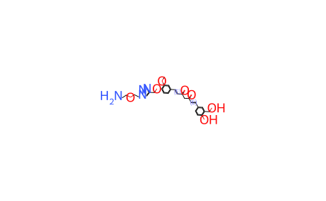 COc1cc(/C=C/C(=O)CC(=O)/C=C/c2ccc(O)c(CO)c2)ccc1OCc1cn(CCOCCN)nn1